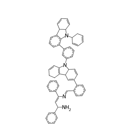 NC(/C=C(\N=C\c1ccccc1C1=CC2C3=C(C=CCC3)N(c3cccc(-c4cccc5c4N(C4C=CC=CC4)C4C=CC=CC54)c3)C2C=C1)c1ccccc1)c1ccccc1